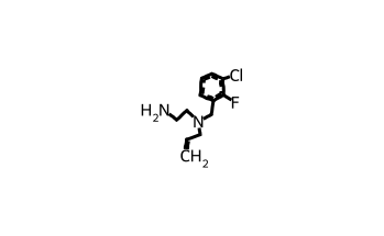 C=CCN(CCN)Cc1cccc(Cl)c1F